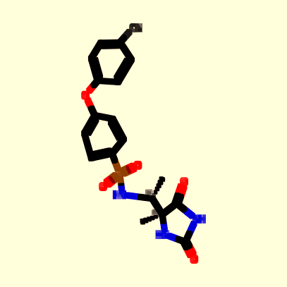 C[C@@H](NS(=O)(=O)c1ccc(Oc2ccc(C#N)cc2)cc1)[C@]1(C)NC(=O)NC1=O